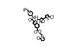 CC(C)N1CCC(NC(=O)c2cc3cc(C(=O)OCCN4CCCC4=O)ccc3n2Cc2cc(-c3ccc(Cl)s3)on2)CC1